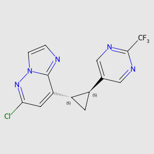 FC(F)(F)c1ncc([C@H]2C[C@@H]2c2cc(Cl)nn3ccnc23)cn1